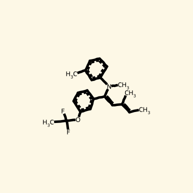 C/C=C(C)/C=C(/c1cccc(OC(C)(F)F)c1)N(C)c1cccc(C)c1